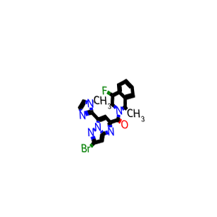 CC1c2ccccc2C(F)CN1C(=O)c1cc(-c2nccn2C)n2nc(Br)cc2n1